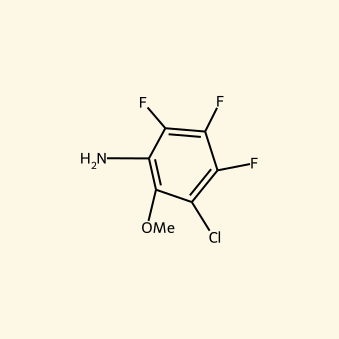 COc1c(N)c(F)c(F)c(F)c1Cl